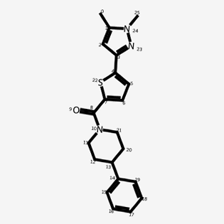 Cc1cc(-c2ccc(C(=O)N3CCC(c4ccccc4)CC3)s2)nn1C